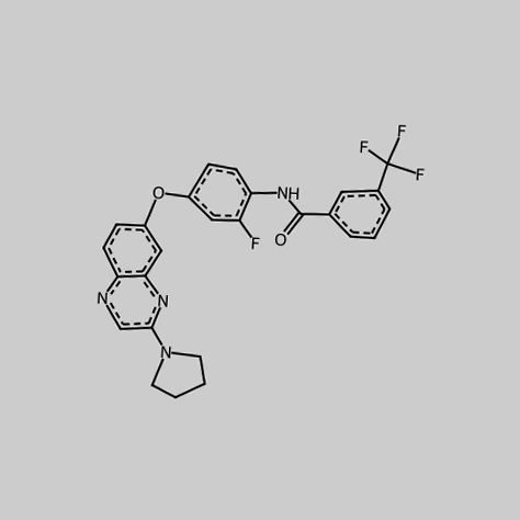 O=C(Nc1ccc(Oc2ccc3ncc(N4CCCC4)nc3c2)cc1F)c1cccc(C(F)(F)F)c1